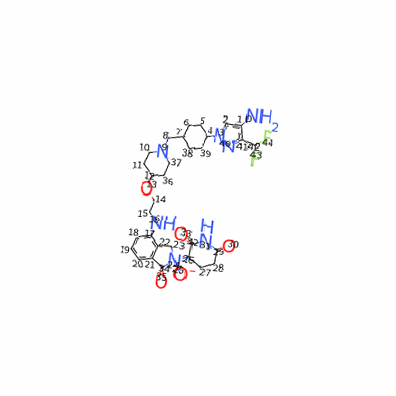 Nc1cn(C2CCC(CN3CCC(OCCNc4cccc5c4C[N+]([O-])(C4CCC(=O)NC4=O)C5=O)CC3)CC2)nc1C(F)F